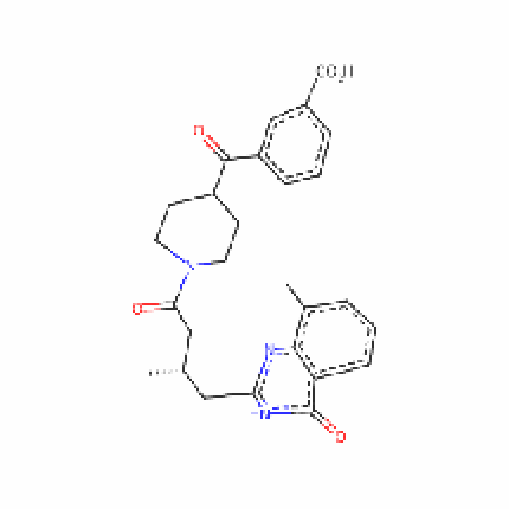 Cc1cccc2c(=O)[nH]c(C[C@H](C)CC(=O)N3CCC(C(=O)c4cccc(C(=O)O)c4)CC3)nc12